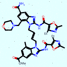 CCc1nc(C)oc1C(=O)Nc1nc2cc(C(=O)OC)cc(C)c2n1C/C=C/Cn1c(NC(=O)c2oc(C)nc2CC)nc2cc(C(N)=O)cc(CN3CCOCC3)c21